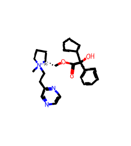 C[N+]1(CCc2cnccn2)CCC[C@@H]1COC(=O)C(O)(c1ccccc1)C1CCCC1